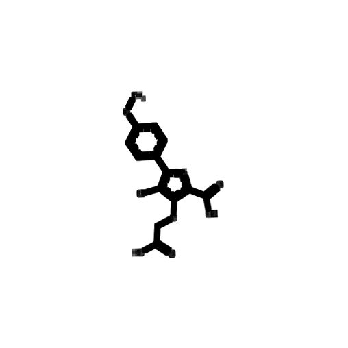 COc1ccc(-c2sc(C(=O)O)c(OCC(=O)O)c2Cl)cc1